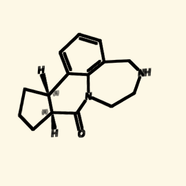 O=C1[C@@H]2CCC[C@@H]2c2cccc3c2N1CCNC3